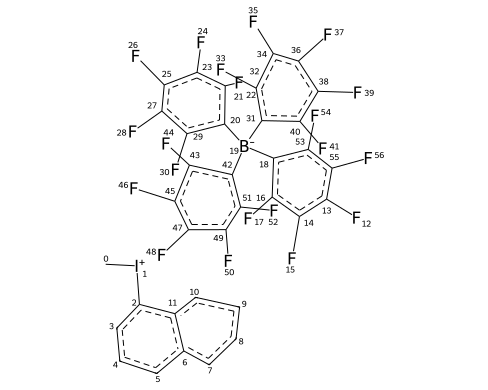 C[I+]c1cccc2ccccc12.Fc1c(F)c(F)c([B-](c2c(F)c(F)c(F)c(F)c2F)(c2c(F)c(F)c(F)c(F)c2F)c2c(F)c(F)c(F)c(F)c2F)c(F)c1F